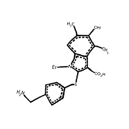 CCn1c(Sc2ccc(CN)cc2)c(C(=O)O)c2c(C)c(O)c(C)cc21